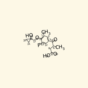 Cc1cc(C(=O)C(C)CC(=O)O)cc(F)c1OCC1(O)CC1